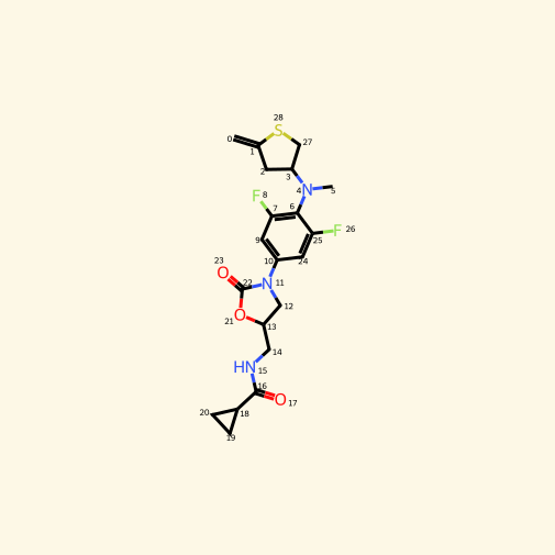 C=C1CC(N(C)c2c(F)cc(N3CC(CNC(=O)C4CC4)OC3=O)cc2F)CS1